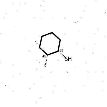 C[C@@H]1CCCC[C@@H]1S